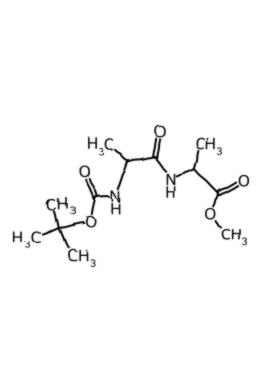 COC(=O)C(C)NC(=O)C(C)NC(=O)OC(C)(C)C